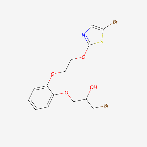 OC(CBr)COc1ccccc1OCCOc1ncc(Br)s1